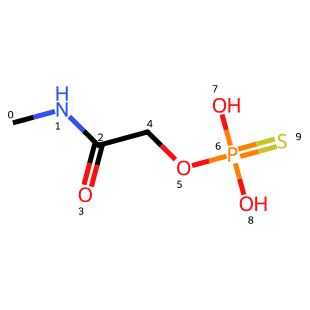 CNC(=O)COP(O)(O)=S